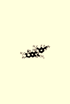 C=C1[C@H](C(C)C)Cc2cc3nc(C)nc(N[C@H](C)c4cccc(C(F)(F)C(C)C)c4F)c3cc2N1C